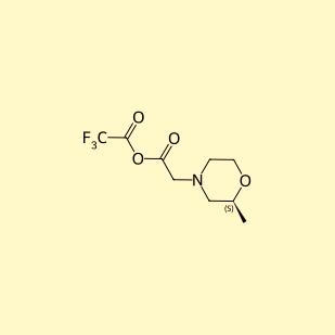 C[C@H]1CN(CC(=O)OC(=O)C(F)(F)F)CCO1